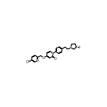 O=c1cc(OCc2ccc(Cl)cn2)ccn1-c1ccc(CCN2CC[C@@H](F)C2)cc1